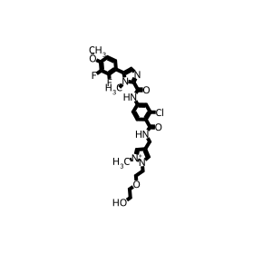 COc1ccc(-c2cnc(C(=O)Nc3ccc(C(=O)NCc4cn(CCOCCO)[n+](C)c4)c(Cl)c3)n2C)c(F)c1F